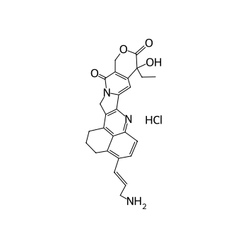 CCC1(O)C(=O)OCc2c1cc1n(c2=O)Cc2c-1nc1ccc(C=CCN)c3c1c2CCC3.Cl